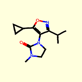 CC(C)c1noc(C2CC2)c1N1CCN(C)C1=O